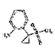 CS(=O)(=O)C1(c2ccccc2N)CC1